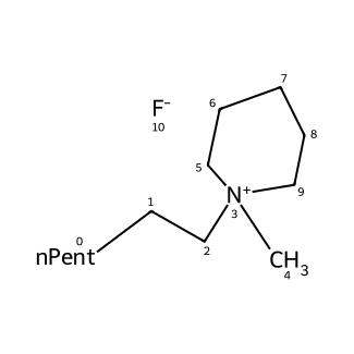 CCCCCCC[N+]1(C)CCCCC1.[F-]